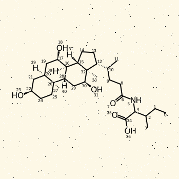 CCC(C)C(NC(=O)CCC(C)[C@H]1CC[C@H]2[C@@H]3[C@H](O)C[C@@H]4C[C@H](O)CC[C@]4(C)[C@H]3C[C@H](O)[C@]12C)C(=O)O